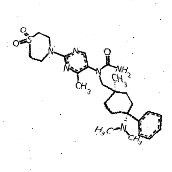 Cc1nc(N2CCS(=O)(=O)CC2)ncc1N(C[C@]1(C)CC[C@@](c2ccccc2)(N(C)C)CC1)C(N)=O